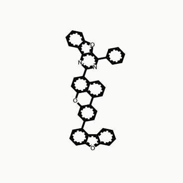 c1ccc(-c2nc(-c3ccc4c5c(cccc35)-c3ccc(-c5cccc6oc7ccccc7c56)cc3O4)nc3c2oc2ccccc23)cc1